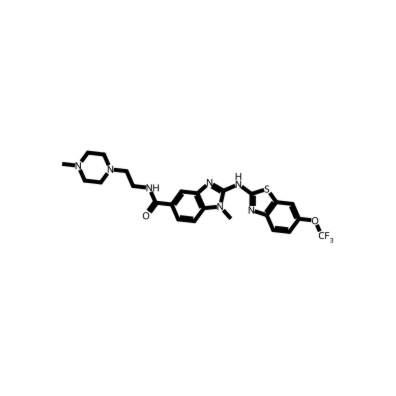 CN1CCN(CCNC(=O)c2ccc3c(c2)nc(Nc2nc4ccc(OC(F)(F)F)cc4s2)n3C)CC1